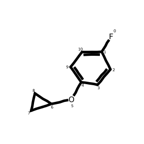 Fc1ccc(O[C]2CC2)cc1